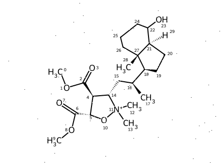 COC(=O)[C@@H]1[C@@H](C(=O)OC)O[N+](C)(C)[C@H]1C[C@H](C)[C@@H]1CC[C@@H]2C(O)CCC[C@]21C